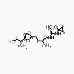 NC(CCc1nc(C(N)CO)no1)ONC(=O)NC1(C(=O)O)CC1